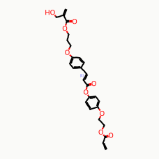 C=CC(=O)OCCOc1ccc(OC(=O)/C=C/c2ccc(OCCCOC(=O)C(=C)CO)cc2)cc1